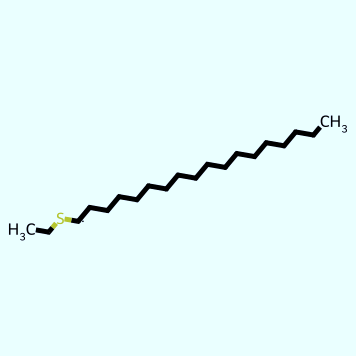 CCCCCCCCCCCCCCCCC[CH]SCC